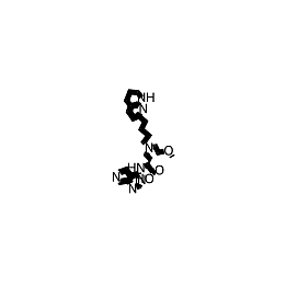 COCCN(CCCCc1ccc2c(n1)NCCC2)CC[C@H](Nc1ncnc2cnccc12)C(=O)O